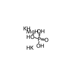 O=P(O)(O)O.[KH].[KH].[MgH2]